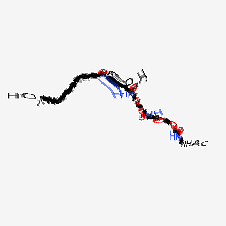 CC(=O)NCCNC(=O)COCCOCCNC(=O)COCCOCCNC(=O)CC[C@H](NC(=O)CCCCCCCCCCCCCCCCC(=O)O)C(=O)O